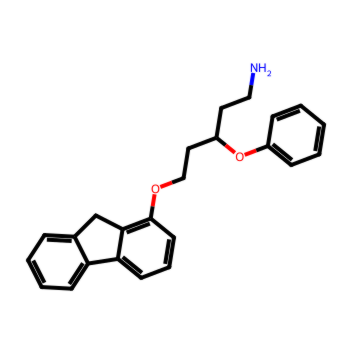 NCCC(CCOc1cccc2c1Cc1ccccc1-2)Oc1ccccc1